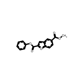 COC(=O)c1ccc2oc(C(=O)Oc3ccccc3)cc2c1